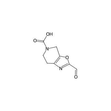 O=Cc1nc2c(o1)CN(C(=O)O)CC2